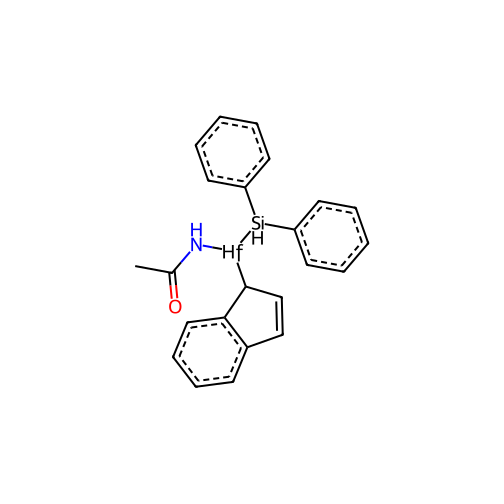 CC(=O)[NH][Hf]([CH]1C=Cc2ccccc21)[SiH](c1ccccc1)c1ccccc1